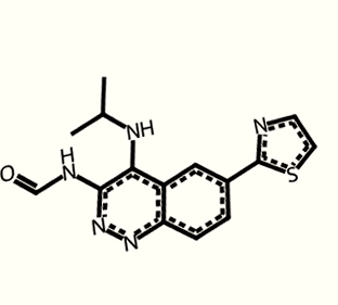 CC(C)Nc1c(NC=O)nnc2ccc(-c3nccs3)cc12